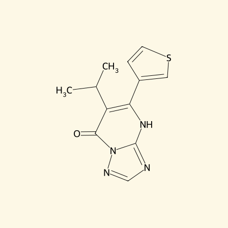 CC(C)c1c(-c2ccsc2)[nH]c2ncnn2c1=O